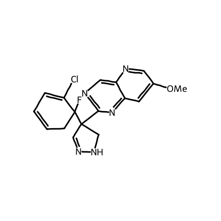 COc1cnc2cnc(C3(C4(F)CC=CC=C4Cl)C=NNC3)nc2c1